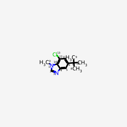 Cn1cnc2cc(C(C)(C)C)cc(Cl)c21